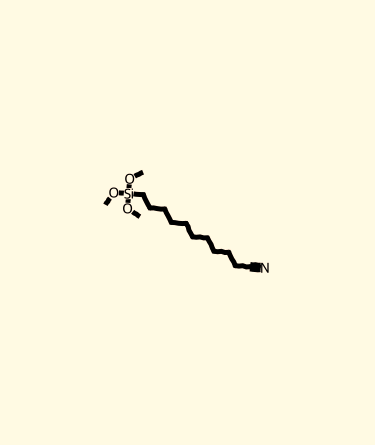 CO[Si](CCCCCCCCCCC#N)(OC)OC